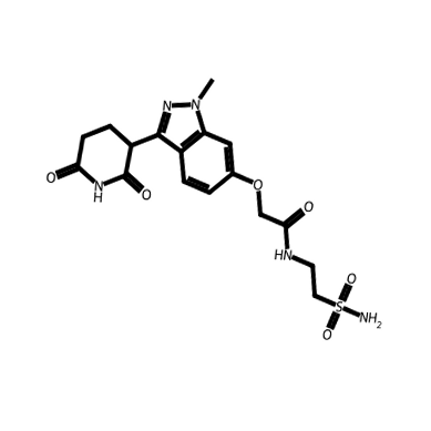 Cn1nc(C2CCC(=O)NC2=O)c2ccc(OCC(=O)NCCS(N)(=O)=O)cc21